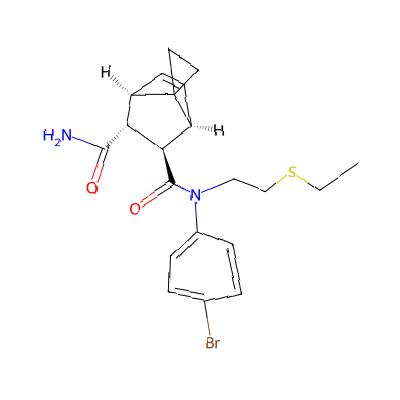 CCSCCN(C(=O)[C@H]1[C@H](C(N)=O)[C@H]2C=C[C@@H]1C21CC1)c1ccc(Br)cc1